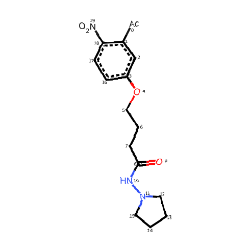 CC(=O)c1cc(OCCCC(=O)NN2CCCC2)ccc1[N+](=O)[O-]